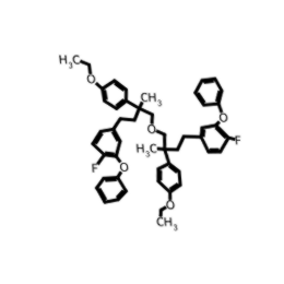 CCOc1ccc(C(C)(CCc2ccc(F)c(Oc3ccccc3)c2)COCC(C)(CCc2ccc(F)c(Oc3ccccc3)c2)c2ccc(OCC)cc2)cc1